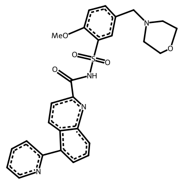 COc1ccc(CN2CCOCC2)cc1S(=O)(=O)NC(=O)c1ccc2c(-c3ccccn3)cccc2n1